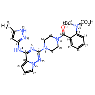 Cc1cc(Nc2nc(N3CCN(C(=O)c4ccccc4N(C(=O)O)C(C)(C)C)CC3)nn3cccc23)n[nH]1